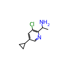 CC(N)c1ncc(C2CC2)cc1Cl